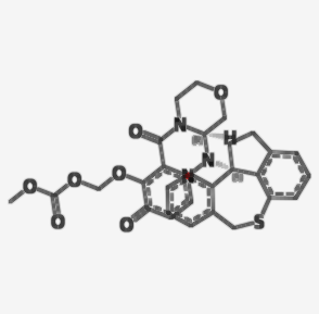 COC(=O)OCOc1c2n(ccc1=O)N([C@]13CCc4cccc(c41)SCc1ccccc13)[C@@H]1COCCN1C2=O